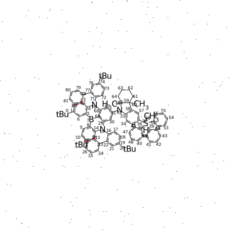 CC(C)(C)c1ccc2c(c1)B1c3ccc(C(C)(C)C)cc3N(c3ccc(C(C)(C)C)cc3-c3ccccc3)c3cc(N4c5ccc([SH](C)(c6ccccc6)(c6ccccc6)c6ccccc6)cc5C5(C)CCCCC45C)cc(c31)N2c1ccc(C(C)(C)C)cc1-c1ccccc1